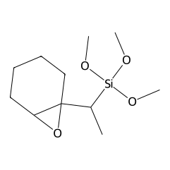 CO[Si](OC)(OC)C(C)C12CCCCC1O2